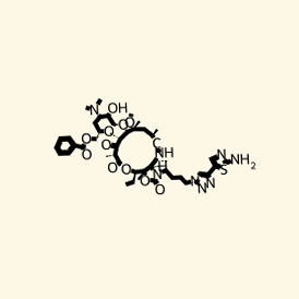 CC[C@H]1OC(=O)[C@H](C)C(=O)[C@H](C)[C@@H](O[C@@H]2O[C@H](COC(=O)c3ccccc3)CC(N(C)C)C2O)[C@](C)(OC)C[C@@H](C)CN[C@H](C)[C@H]2N(CCCCn3cc(-c4cnc(N)s4)nn3)C(=O)O[C@]12C